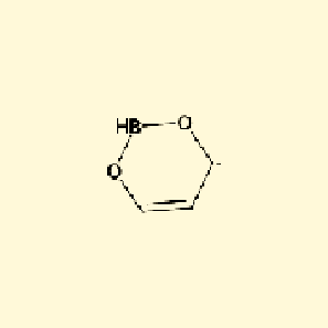 B1O[CH]C=CO1